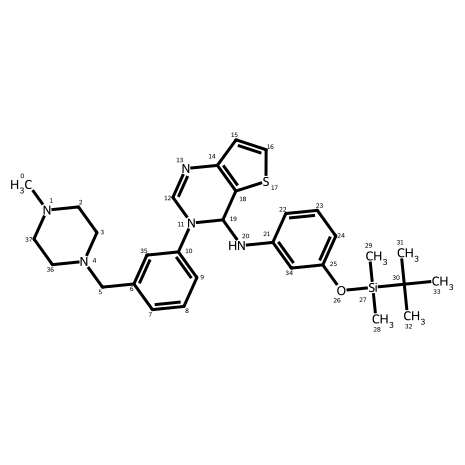 CN1CCN(Cc2cccc(N3C=Nc4ccsc4C3Nc3cccc(O[Si](C)(C)C(C)(C)C)c3)c2)CC1